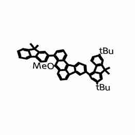 COc1c2cccc3c2c(c2cccc(-c4ccc5c(c4)C(C)(C)c4ccccc4-5)c12)-c1ccc(-c2cc(C(C)(C)C)cc4c2-c2ccc(C(C)(C)C)cc2C4(C)C)cc1-3